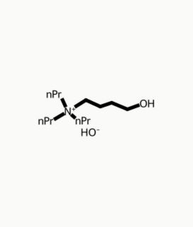 CCC[N+](CCC)(CCC)CCCCO.[OH-]